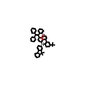 CC(C)(C)c1ccc(N(c2ccc3c(c2)Oc2ccccc2C3=C(c2ccccc2)c2ccccc2)c2ccc3c(c2)C(C)(C)c2ccccc2-3)c(-c2ccccc2)c1